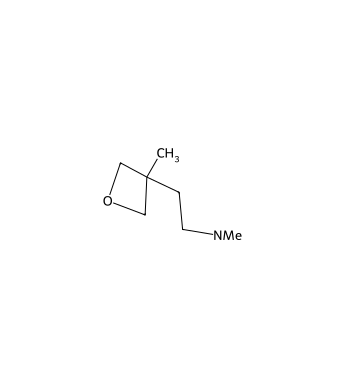 CNCCC1(C)COC1